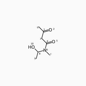 CC(=O)CC(=O)N(C)C(C)O